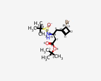 CC(C)(C)OC(=O)C[C@H](CC1=CC[C@H]1Br)N[S+]([O-])C(C)(C)C